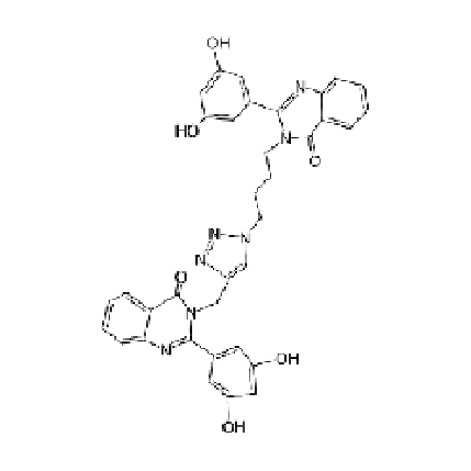 O=c1c2ccccc2nc(-c2cc(O)cc(O)c2)n1CCCCn1cc(Cn2c(-c3cc(O)cc(O)c3)nc3ccccc3c2=O)nn1